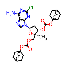 C[C@]1(COC(=O)OC23CCC(CC2)CC3)O[C@@H](n2cnc3c(N)nc(Cl)nc32)C[C@@H]1OC(=O)OC12CCC(CC1)CC2